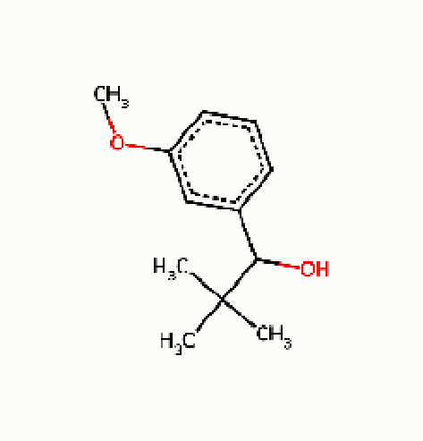 COc1cccc(C(O)C(C)(C)C)c1